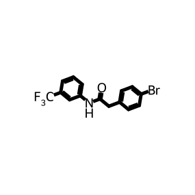 O=C(Cc1ccc(Br)cc1)Nc1cccc(C(F)(F)F)c1